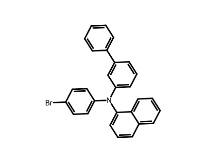 Brc1ccc(N(c2cccc(-c3ccccc3)c2)c2cccc3ccccc23)cc1